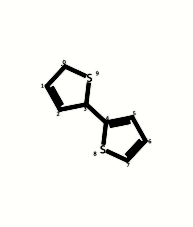 [C]1C=CC(c2cccs2)S1